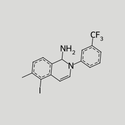 Cc1ccc2c(c1I)C=CN(c1cccc(C(F)(F)F)c1)C2N